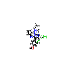 CCN(CC1CC1)c1c2c(nc3c(-c4ccc(OC)cc4Cl)c(C)nn13)CCC2.Cl